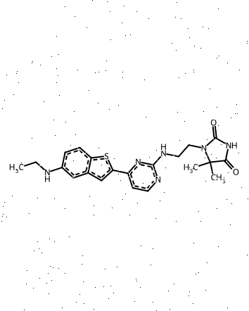 CCNc1ccc2sc(-c3ccnc(NCCN4C(=O)NC(=O)C4(C)C)n3)cc2c1